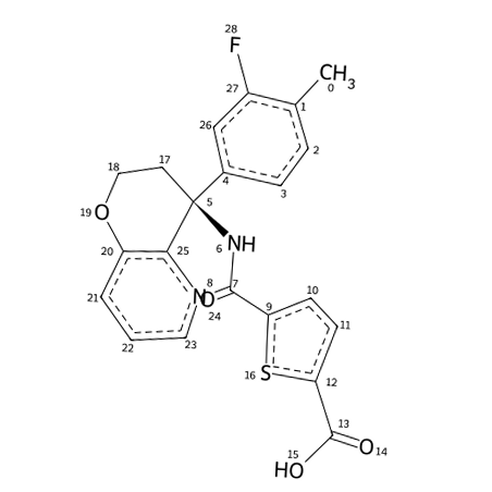 Cc1ccc([C@@]2(NC(=O)c3ccc(C(=O)O)s3)CCOc3cccnc32)cc1F